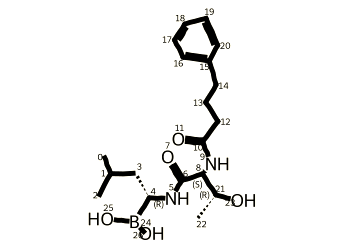 CC(C)C[C@H](NC(=O)[C@@H](NC(=O)CCCc1ccccc1)[C@@H](C)O)B(O)O